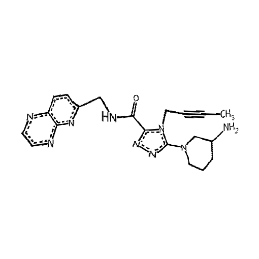 CC#CCn1c(C(=O)NCc2ccc3nccnc3n2)nnc1N1CCCC(N)C1